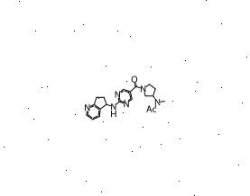 CC(=O)N(C)C1CCN(C(=O)c2cnc(NC3CCc4ncccc43)nc2)C1